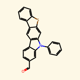 O=Cc1ccc2c3cc4c(cc3n(-c3ccccc3)c2c1)sc1ccccc14